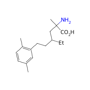 CCC(CCc1cc(C)ccc1C)CC(C)(N)C(=O)O